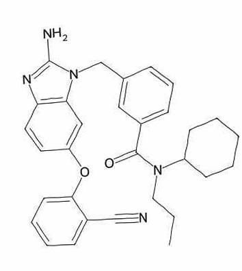 CCCN(C(=O)c1cccc(Cn2c(N)nc3ccc(Oc4ccccc4C#N)cc32)c1)C1CCCCC1